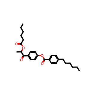 CCCCCCc1ccc(C(=O)Oc2ccc(C(=O)C(C)OC(=O)CCCCC)cc2)cc1